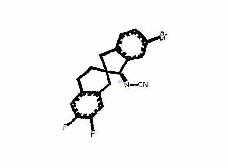 N#C/N=C1\c2cc(Br)ccc2CC12CCc1cc(F)c(F)cc1C2